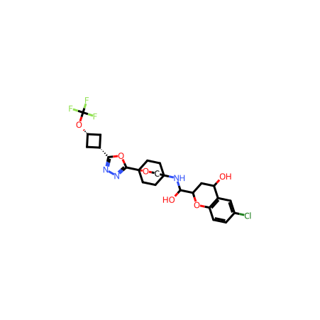 OC1CC(C(O)NC23CCC(c4nnc([C@H]5C[C@@H](OC(F)(F)F)C5)o4)(CC2)OC3)Oc2ccc(Cl)cc21